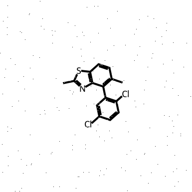 Cc1nc2c(-c3cc(Cl)ccc3Cl)c(C)ccc2s1